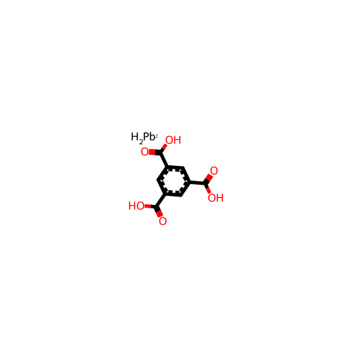 O=C(O)c1cc(C(=O)O)cc(C(=O)O)c1.[PbH2]